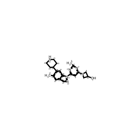 Cc1nc(N2CC(O)C2)cc(-n2ncc3cc(C)c(C4CCNCC4)cc32)n1